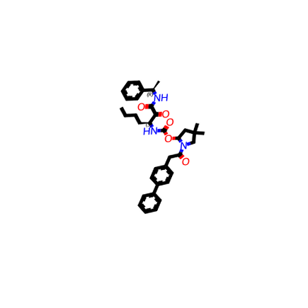 CCCC[C@H](NC(=O)OC1CC(C)(C)CN1C(=O)Cc1ccc(-c2ccccc2)cc1)C(=O)C(=O)N[C@H](C)c1ccccc1